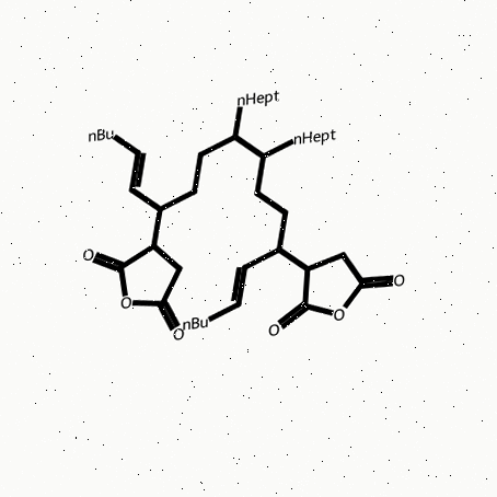 CCCC/C=C/C(CCC(CCCCCCC)C(CCCCCCC)CCC(/C=C/CCCC)C1CC(=O)OC1=O)C1CC(=O)OC1=O